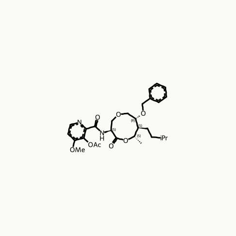 COc1ccnc(C(=O)N[C@H]2COC[C@H](OCc3ccccc3)[C@@H](CCC(C)C)[C@H](C)OC2=O)c1OC(C)=O